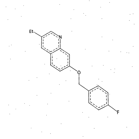 CCc1cnc2cc(OCc3ccc(F)cc3)ccc2c1